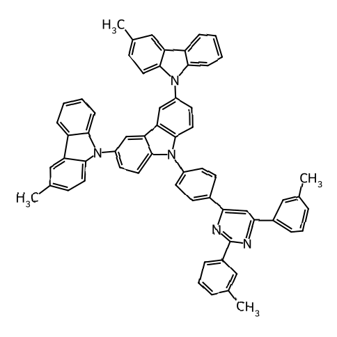 Cc1cccc(-c2cc(-c3ccc(-n4c5ccc(-n6c7ccccc7c7cc(C)ccc76)cc5c5cc(-n6c7ccccc7c7cc(C)ccc76)ccc54)cc3)nc(-c3cccc(C)c3)n2)c1